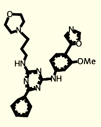 COc1cc(Nc2nc(NCCCN3CCOCC3)nc(-c3ccccc3)n2)ccc1-c1cnco1